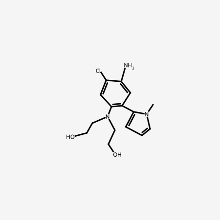 Cn1cccc1-c1cc(N)c(Cl)cc1N(CCO)CCO